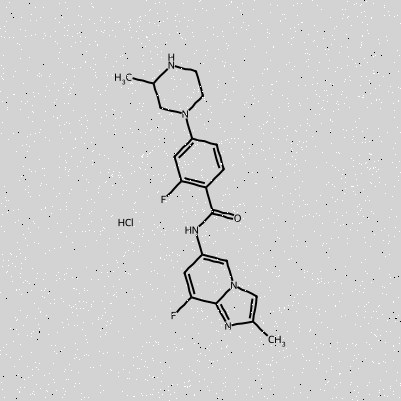 Cc1cn2cc(NC(=O)c3ccc(N4CCNC(C)C4)cc3F)cc(F)c2n1.Cl